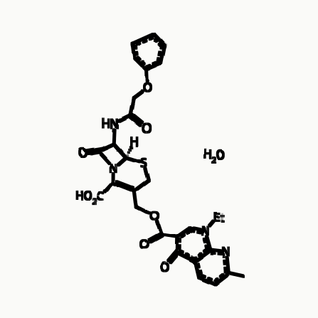 CCn1cc(C(=O)OCC2=C(C(=O)O)N3C(=O)C(NC(=O)COc4ccccc4)[C@H]3SC2)c(=O)c2ccc(C)nc21.O